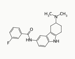 CN(C)C1CCc2[nH]c3ccc(NC(=O)c4cccc(F)c4)cc3c2C1